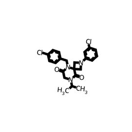 CC(C)N1CC(=O)N(Cc2ccc(Cl)cc2)C2(CN(c3cccc(Cl)c3)C2)C1=O